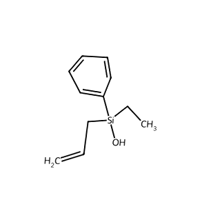 C=CC[Si](O)(CC)c1ccccc1